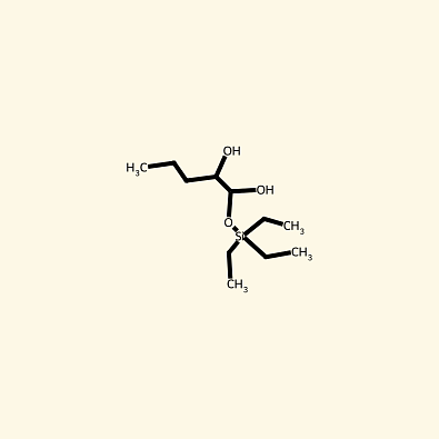 CCCC(O)C(O)O[Si](CC)(CC)CC